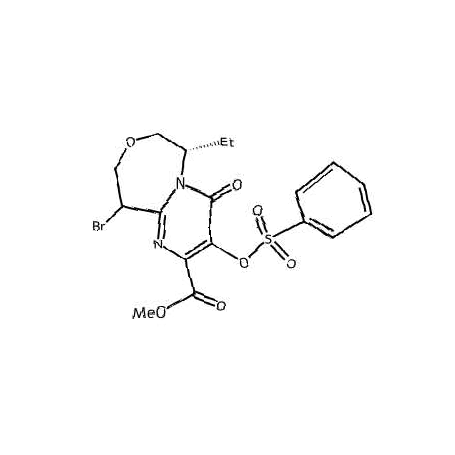 CC[C@H]1COCC(Br)c2nc(C(=O)OC)c(OS(=O)(=O)c3ccccc3)c(=O)n21